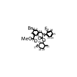 COC(=O)c1cc(Br)cc(CN(C(=O)O[C@H]2CN(C)CCC2C)c2ccccc2F)c1